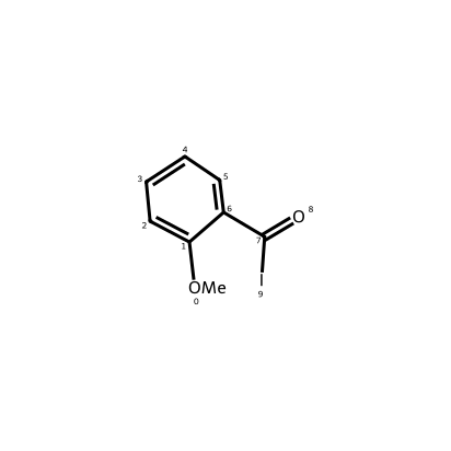 COc1ccccc1C(=O)I